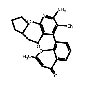 Cc1cc(=O)c2cccc(-c3c(C#N)c(C)nc(C)c3C(=O)CC3CCCC3)c2o1